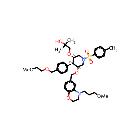 COCCCN1CCOc2ccc(CO[C@H]3CN(S(=O)(=O)c4ccc(C)cc4)C[C@@H](OCC(C)(C)O)[C@@H]3c3ccc(COCCOC)cc3)cc21